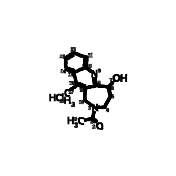 CC(=O)N1CCC(O)c2nc3ccccc3c(C)c2C1.Cl